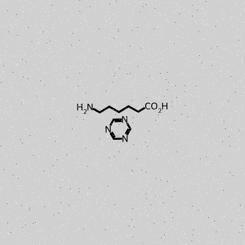 NCCCCCC(=O)O.c1ncncn1